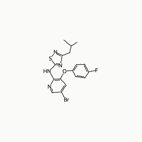 CC(C)Cc1nsc(Nc2ncc(Br)cc2Oc2ccc(F)cc2)n1